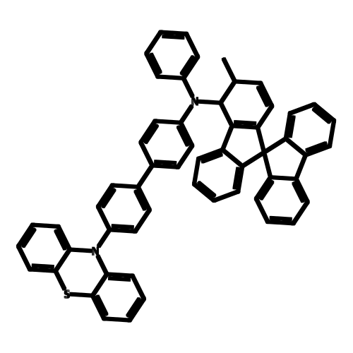 CC1C=CC2=C(c3ccccc3C23c2ccccc2-c2ccccc23)C1N(c1ccccc1)c1ccc(-c2ccc(N3c4ccccc4Sc4ccccc43)cc2)cc1